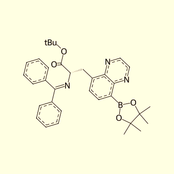 CC(C)(C)OC(=O)[C@H](Cc1ccc(B2OC(C)(C)C(C)(C)O2)c2nccnc12)N=C(c1ccccc1)c1ccccc1